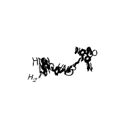 CN(C)c1ccc2c(c1)[Si](C)(CCCSCC(=O)NCc1ccc(COc3nc(N)nc4[nH]cnc34)cc1)c1cc(N(C)C)ccc1C21OC(=O)c2ccccc21